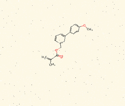 C=C(C)C(=O)OCc1cccc(-c2ccc(OC)cc2)c1